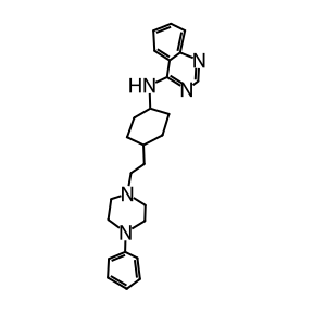 c1ccc(N2CCN(CCC3CCC(Nc4ncnc5ccccc45)CC3)CC2)cc1